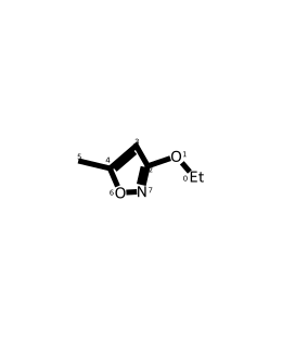 [CH2]COc1cc(C)on1